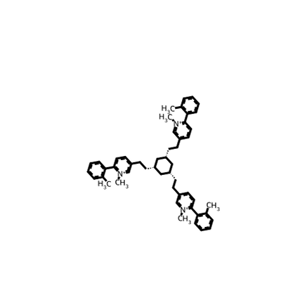 Cc1ccccc1-c1ccc(CC[C@H]2C[C@@H](CCc3ccc(-c4ccccc4C)[n+](C)c3)C[C@@H](CCc3ccc(-c4ccccc4C)[n+](C)c3)C2)c[n+]1C